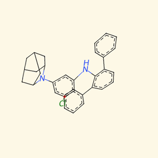 Clc1cc(Nc2c(-c3ccccc3)cccc2-c2ccccc2)cc(N2C3CC4CC(C3)CC2C4)c1